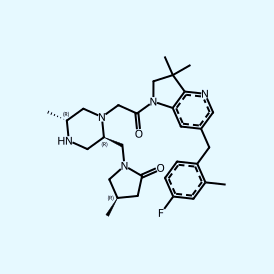 Cc1cc(F)ccc1Cc1cnc2c(c1)N(C(=O)CN1C[C@@H](C)NC[C@@H]1CN1C[C@H](C)CC1=O)CC2(C)C